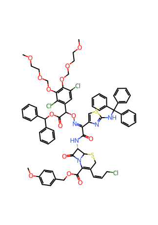 COCCOCOc1c(Cl)cc(C(ON=C(C(=O)N[C@H]2C(=O)N3C(C(=O)OCc4ccc(OC)cc4)=C(/C=C\CCl)CSC23)c2csc(NC(c3ccccc3)(c3ccccc3)c3ccccc3)n2)C(=O)OC(c2ccccc2)c2ccccc2)c(Cl)c1OCOCCOC